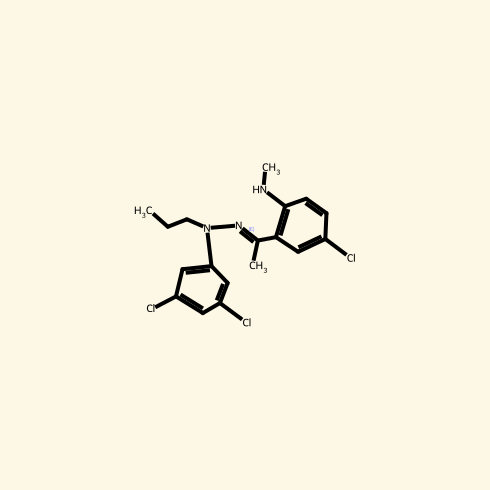 CCCN(/N=C(\C)c1cc(Cl)ccc1NC)c1cc(Cl)cc(Cl)c1